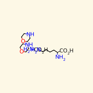 C1COCCN1.C1COCCN1.NC(=O)O.NCCCC[C@H](N)C(=O)O